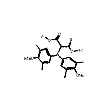 COc1c(C)cc(N(c2cc(C)c(OC)c(C)c2)C(C(=O)OC(C)C)C(=O)OC(C)C)cc1C